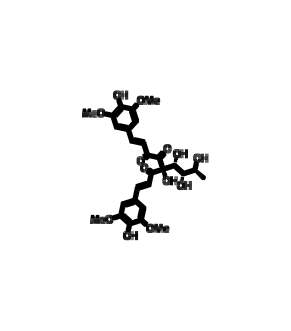 COc1cc(/C=C/C(=O)C(=O)[C@@](O)(C(=O)/C=C/c2cc(OC)c(O)c(OC)c2)[C@H](O)[C@@H](O)[C@H](C)O)cc(OC)c1O